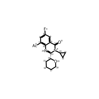 CC(=O)c1cc(F)cc2c(=O)n(C3CC3)c([C@H]3CCCCO3)nc12